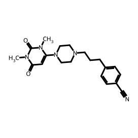 Cn1c(N2CCN(CCCc3ccc(C#N)cc3)CC2)cc(=O)n(C)c1=O